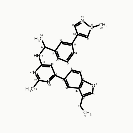 CCc1coc2ccc(-c3cc(NC(C)c4cccc(-c5cnn(C)c5)c4)nc(C)n3)cc12